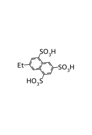 CCc1cc(S(=O)(=O)O)c2cc(S(=O)(=O)O)cc(S(=O)(=O)O)c2c1